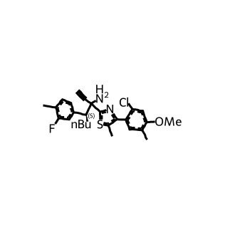 C#CC(N)(c1nc(-c2cc(C)c(OC)cc2Cl)c(C)s1)[C@@H](CCCC)c1ccc(C)c(F)c1